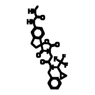 CNC(=O)Nc1ccc2c(c1)CCC21OC(=O)N(CC(=O)N(Cc2ccccc2)[C@H](C2CC2)C(F)(F)F)C1=O